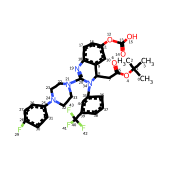 CC(C)(C)OC(=O)CC1c2cc(OC(=O)O)ccc2N=C(N2CCN(c3ccc(F)cc3)CC2)N1c1cccc(C(F)(F)F)c1